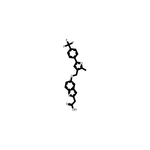 Cc1oc(-c2ccc(C(F)(F)F)cc2)cc1COc1ccc2sc(CC(=O)O)cc2c1